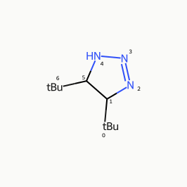 CC(C)(C)C1N=NNC1C(C)(C)C